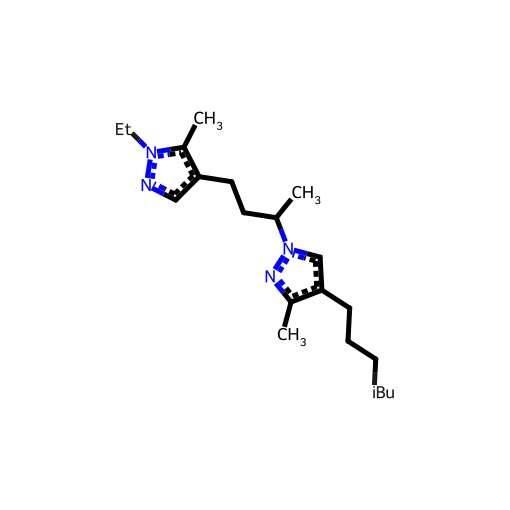 CCC(C)CCCc1cn(C(C)CCc2cnn(CC)c2C)nc1C